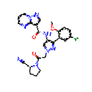 COc1ccc(Cl)cc1-c1nn(CC(=O)N2CCCC2C#N)cc1NC(=O)c1cnn2cccnc12